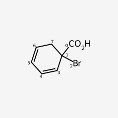 O=C(O)C1(Br)C=CC=CC1